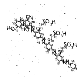 Cc1cc(N=Nc2cc(SCCCS(=O)(=O)O)c(N=Nc3cc(OCCCS(=O)(=O)O)c(N=Nc4c(C)c(C#N)c5nc6ccc(CO)cc6n5c4O)cc3C)cc2C)c(SCCCS(=O)(=O)O)cc1N=Nc1ccc(Cl)cc1